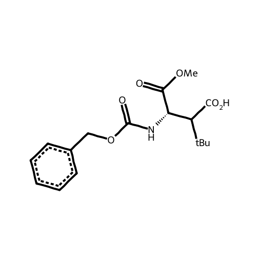 COC(=O)[C@@H](NC(=O)OCc1ccccc1)C(C(=O)O)C(C)(C)C